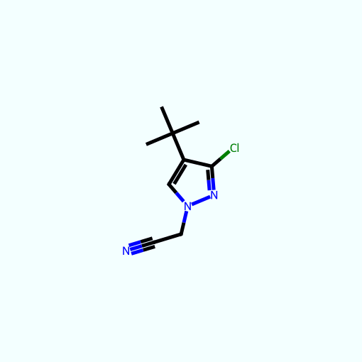 CC(C)(C)c1cn(CC#N)nc1Cl